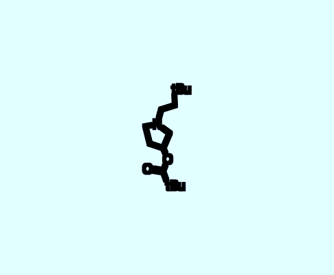 CC(C)(C)CCN1CCC(OC(=O)C(C)(C)C)C1